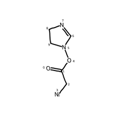 O=C([CH2][Ni])ON1C=NCC1